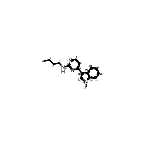 CCCCNc1nccc(-c2cn(C)c3ccccc23)n1